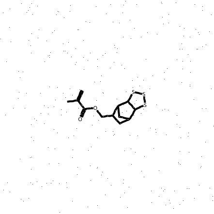 C=C(C)C(=O)OCC1CC2CC1C1SSSC21